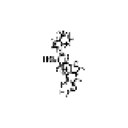 Cc1ncnc2c1ccn2[C@@H]1O[C@H]([C@@H]2OCc3cc(OC(F)(F)F)c(F)cc32)[C@@H](O)[C@H]1O